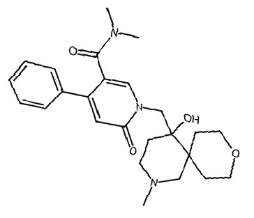 CN1CCC(O)(Cn2cc(C(=O)N(C)C)c(-c3ccccc3)cc2=O)C2(CCOCC2)C1